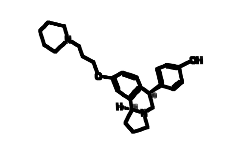 Oc1ccc([C@H]2CN3CCC[C@H]3c3cc(OCCCN4CCCCC4)ccc32)cc1